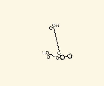 O=C(O)CCCCCCCCCCCOc1cc(-c2ccccc2)ccc1OCCCC(=O)O